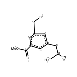 COC(=O)c1cc(CBr)cc(CC(C)C#N)c1